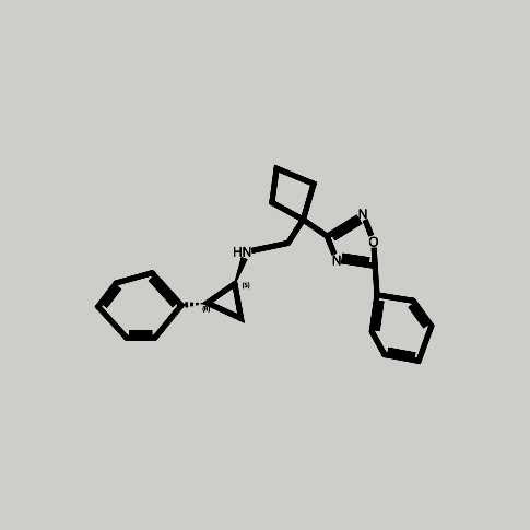 c1ccc(-c2nc(C3(CN[C@H]4C[C@@H]4c4ccccc4)CCC3)no2)cc1